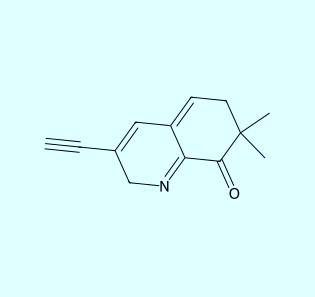 C#CC1=CC2=CCC(C)(C)C(=O)C2=NC1